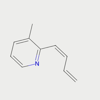 C=C/C=C\c1ncccc1C